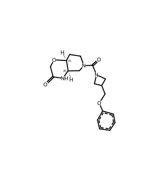 O=C1CO[C@H]2CCN(C(=O)N3CC(COc4ccccc4)C3)C[C@H]2N1